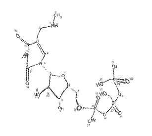 CNCc1cn([C@@H]2O[C@H](COP(=O)(O)OP(=O)(O)OP(=O)(O)O)[C@H](O)C2O)c(=O)[nH]c1=O